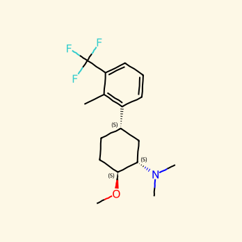 CO[C@H]1CC[C@H](c2cccc(C(F)(F)F)c2C)C[C@@H]1N(C)C